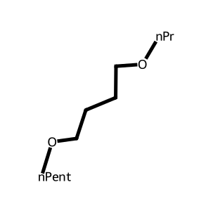 CCCCCOCCCCOCCC